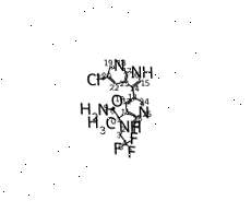 C[C@](NCC(F)(F)F)(C(N)=O)c1cc(-c2c[nH]c3ncc(Cl)cc23)cnc1F